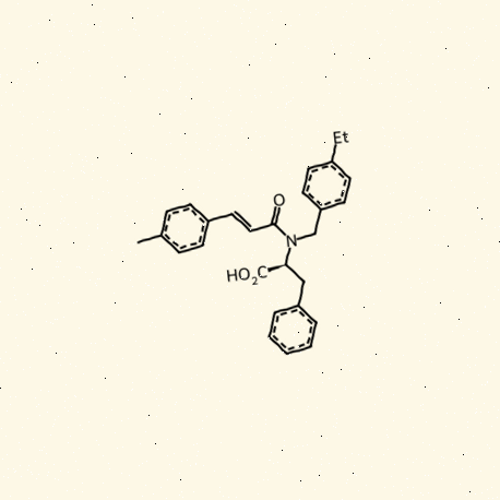 CCc1ccc(CN(C(=O)/C=C/c2ccc(C)cc2)[C@@H](Cc2ccccc2)C(=O)O)cc1